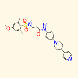 COc1cc(C)c(S(=O)(=O)N(C)CCC(=O)Nc2ccc(N3CCC(c4ccncc4)CC3)cc2)c(C)c1